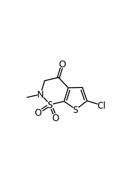 CN1CC(=O)c2cc(Cl)sc2S1(=O)=O